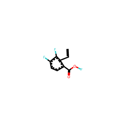 C=Cc1c(C(=O)OF)ccc(F)c1F